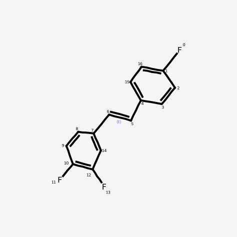 Fc1ccc(/C=C/c2ccc(F)c(F)c2)cc1